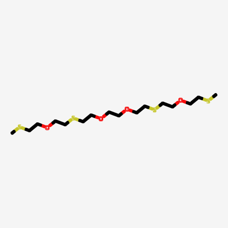 CSCCOCCSCCOCCOCCSCCOCCSC